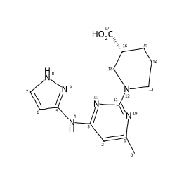 Cc1cc(Nc2cc[nH]n2)nc(N2CCC[C@@H](C(=O)O)C2)n1